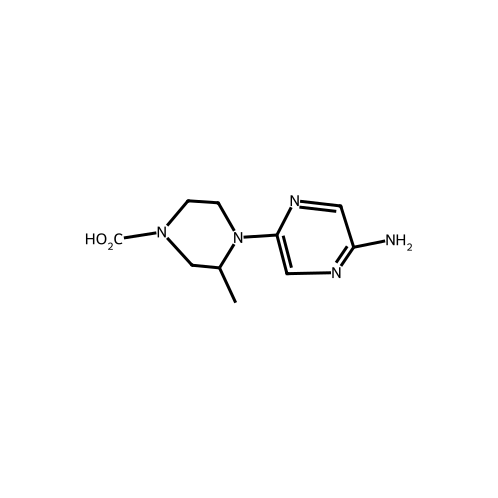 CC1CN(C(=O)O)CCN1c1cnc(N)cn1